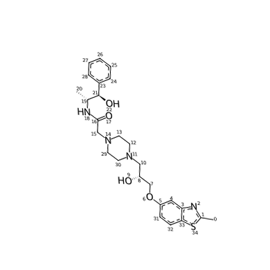 Cc1nc2cc(OC[C@H](O)CN3CCN(CC(=O)N[C@H](C)[C@H](O)c4ccccc4)CC3)ccc2s1